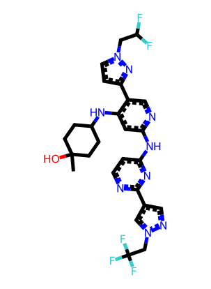 CC1(O)CCC(Nc2cc(Nc3ccnc(-c4cnn(CC(F)(F)F)c4)n3)ncc2-c2ccn(CC(F)F)n2)CC1